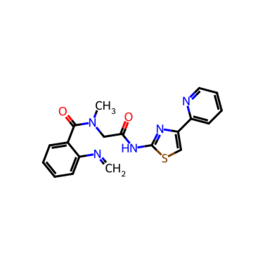 C=Nc1ccccc1C(=O)N(C)CC(=O)Nc1nc(-c2ccccn2)cs1